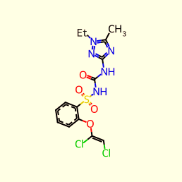 CCn1nc(NC(=O)NS(=O)(=O)c2ccccc2OC(Cl)=CCl)nc1C